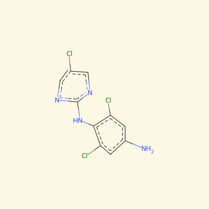 Nc1cc(Cl)c(Nc2ncc(Cl)cn2)c(Cl)c1